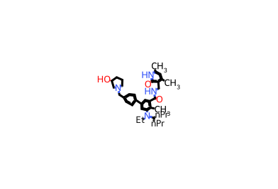 CCCC(CCC)N(CC)c1cc(-c2ccc(CN3CCC[C@@H](O)C3)cc2)cc(C(=O)NCc2c(C)cc(C)[nH]c2=O)c1C